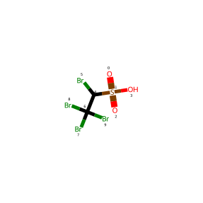 O=S(=O)(O)C(Br)C(Br)(Br)Br